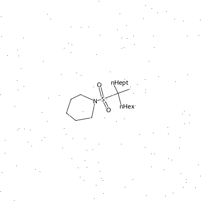 CCCCCCCC(C)(CCCCCC)S(=O)(=O)N1CCCCC1